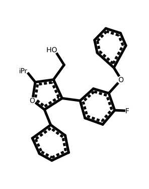 CC(C)c1oc(-c2ccccc2)c(-c2ccc(F)c(Oc3ccccc3)c2)c1CO